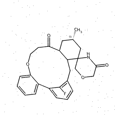 C[C@H]1CC2C(=O)CCOc3ccccc3-c3cccc(c3F)CC2C2(COCC(=O)N2)C1